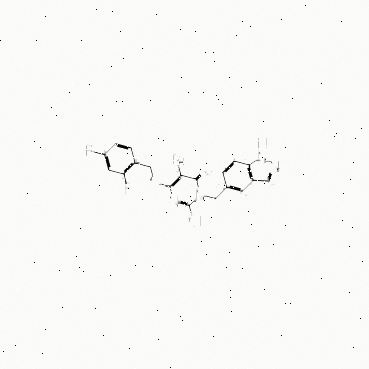 Cc1nc(OCc2ccc(F)cc2F)c(Br)c(=O)n1Cc1ccc2[nH]ncc2c1